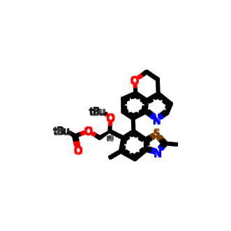 Cc1nc2cc(C)c([C@@H](COC(=O)C(C)(C)C)OC(C)(C)C)c(-c3ccc4c5c(ccnc35)CCO4)c2s1